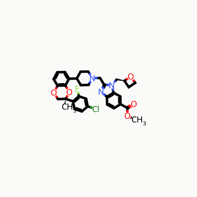 COC(=O)c1ccc2nc(CN3CCC(c4cccc5c4O[C@@](C)(c4ccc(Cl)cc4F)CO5)CC3)n(C[C@@H]3CCO3)c2c1